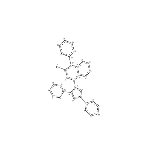 Clc1nc(-n2cc(-c3ccccc3)nc2-c2ccccc2)c2ccccc2c1-c1ccccc1